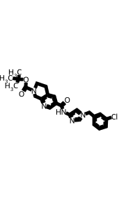 CC(C)(C)OC(=O)N1CCc2cc(C(=O)Nc3cn(Cc4cccc(Cl)c4)cn3)cnc2C1